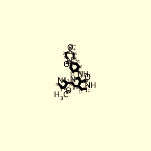 COc1ccncc1-c1cc2cc[nH]c(=O)c2c(Nc2ccc([N+]3([O-])CC[S+]([O-])CC3)cc2)n1